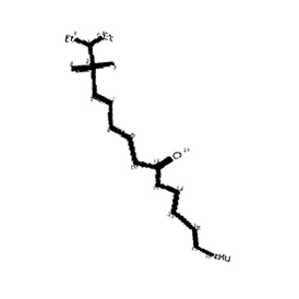 CCC(CC)C(C)(C)CCCCCC(=O)CCCCCC(C)(C)C